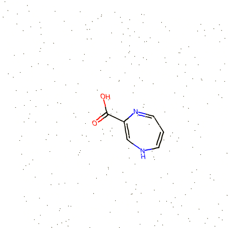 O=C(O)C1=CNC=CC=N1